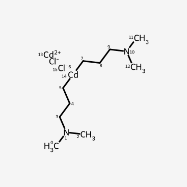 CN(C)CC[CH2][Cd][CH2]CCN(C)C.[Cd+2].[Cl-].[Cl-]